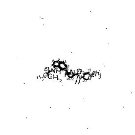 C=C(C)C(=O)Nc1cccc2ccc(-c3nccc(C(=O)NC4CCN(C)CC4)n3)cc12